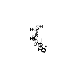 O=C(Nc1cnsc1OCCC(O)CO)c1csc(-c2c(F)cccc2F)n1